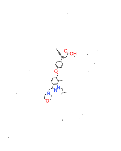 CC#C[C@@H](CC(=O)O)c1ccc(OCc2ccc3c(CN4CCOCC4)nn(CC(C)C)c3c2C)cc1